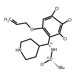 C=CCOc1cc(Cl)c(Cl)c(Cl)c1[C@H](N[S@@+]([O-])C(C)(C)C)C1CCNCC1